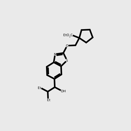 CCOC(=O)C1(COc2nc3ccc(C(O)C(CC)CC)cc3s2)CCCC1